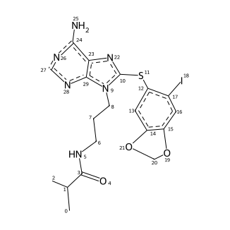 CC(C)C(=O)NCCCn1c(Sc2cc3c(cc2I)OCO3)nc2c(N)ncnc21